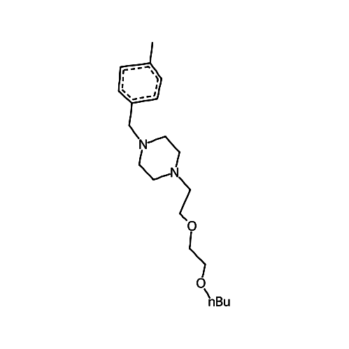 CCCCOCCOCCN1CCN(Cc2ccc(C)cc2)CC1